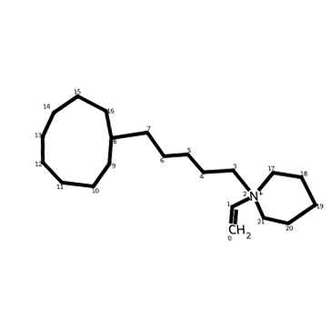 C=C[N+]1(CCCCCC2CCCCCCCC2)CCCCC1